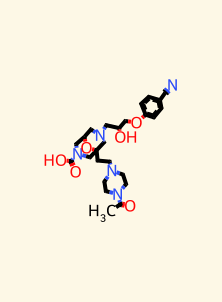 CC(=O)N1CCN(CCC23CN(CC(O)COc4ccc(C#N)cc4)CC(CN(C(=O)O)C2)O3)CC1